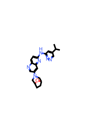 CC(C)c1cnnc(Nc2ccc3ncc(N4CC5CCC(C4)O5)cc3n2)c1